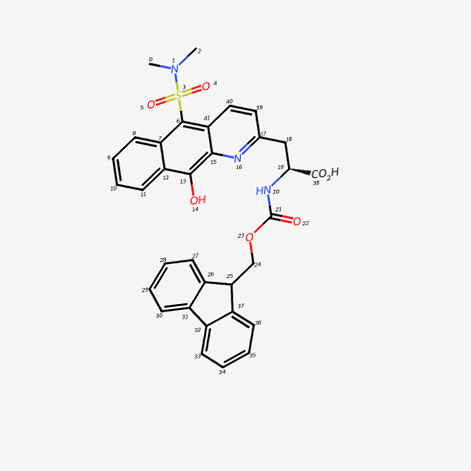 CN(C)S(=O)(=O)c1c2ccccc2c(O)c2nc(C[C@H](NC(=O)OCC3c4ccccc4-c4ccccc43)C(=O)O)ccc12